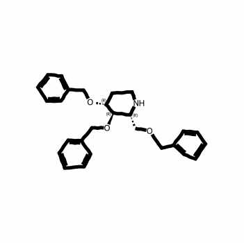 c1ccc(COC[C@H]2NCC[C@@H](OCc3ccccc3)[C@@H]2OCc2ccccc2)cc1